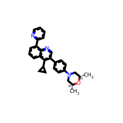 C[C@@H]1CN(c2ccc(-c3cnc4c(-c5ccccn5)cccc4c3C3CC3)cc2)C[C@H](C)O1